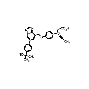 CC#C[C@@H](CC(=O)O)c1ccc(OCc2cc(-c3ccc(C(C)(C)C#N)cc3)cn3ncnc23)cc1